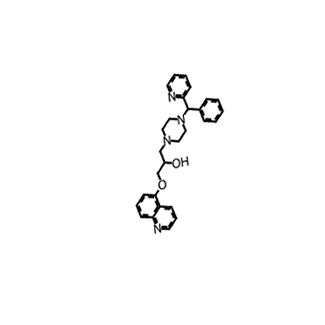 OC(COc1cccc2ncccc12)CN1CCN(C(c2ccccc2)c2ccccn2)CC1